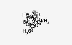 COc1ccc2c(c1)Oc1sc(C)cc1C(N1CCN(C)CC1)=N2.O=C(O)C=CC(=O)O